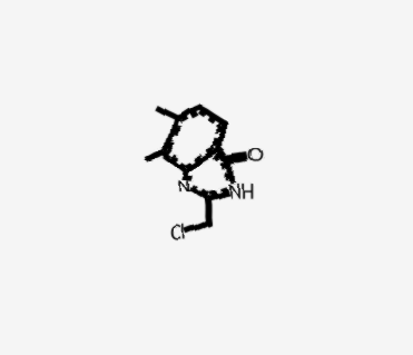 Cc1ccc2c(=O)[nH]c(CCl)nc2c1C